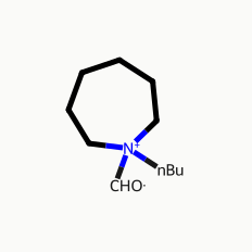 CCCC[N+]1([C]=O)CCCCCC1